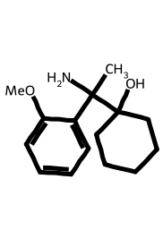 COc1ccccc1C(C)(N)C1(O)CCCCC1